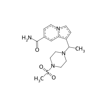 CC(c1ccn2ccc(C(N)=O)cc12)N1CCN(S(C)(=O)=O)CC1